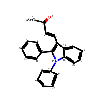 COC(=O)/C=C/c1c(-c2ccccc2)n(-c2ccccc2)c2ccccc12